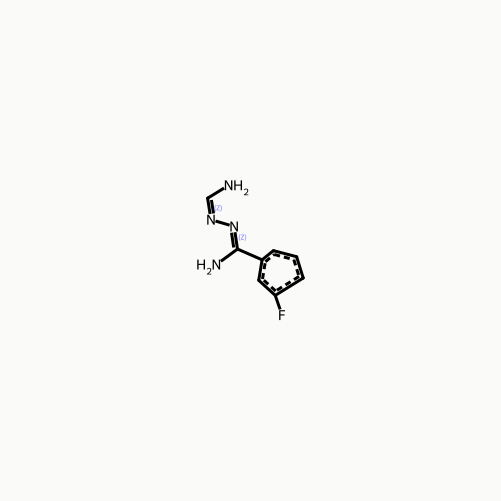 N/C=N\N=C(/N)c1cccc(F)c1